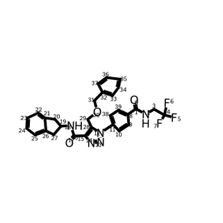 O=C(NCC(F)(F)F)c1ccc(-n2nnc(C(=O)NC3Cc4ccccc4C3)c2COCc2ccccc2)cc1